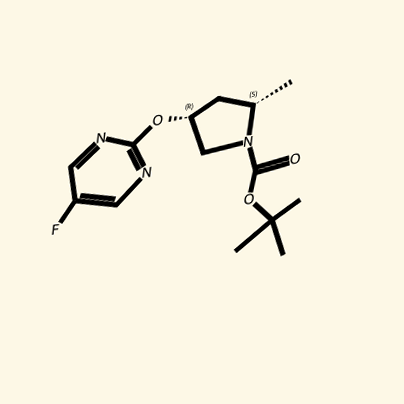 C[C@H]1C[C@@H](Oc2ncc(F)cn2)CN1C(=O)OC(C)(C)C